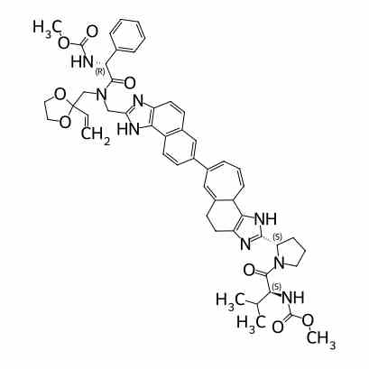 C=CC1(CN(Cc2nc3ccc4cc(C5=CC=CC6C(=C5)CCc5nc([C@@H]7CCCN7C(=O)[C@@H](NC(=O)OC)C(C)C)[nH]c56)ccc4c3[nH]2)C(=O)[C@H](NC(=O)OC)c2ccccc2)OCCO1